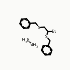 BB.CCC(CSCc1ccccc1)SCc1ccccc1